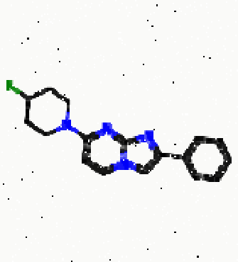 FC1CCN(c2ccn3cc(-c4ccccc4)nc3n2)CC1